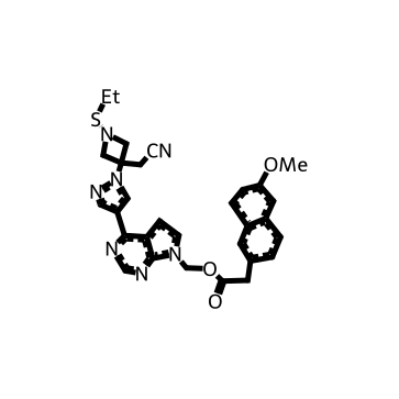 CCSN1CC(CC#N)(n2cc(-c3ncnc4c3ccn4COC(=O)Cc3ccc4cc(OC)ccc4c3)cn2)C1